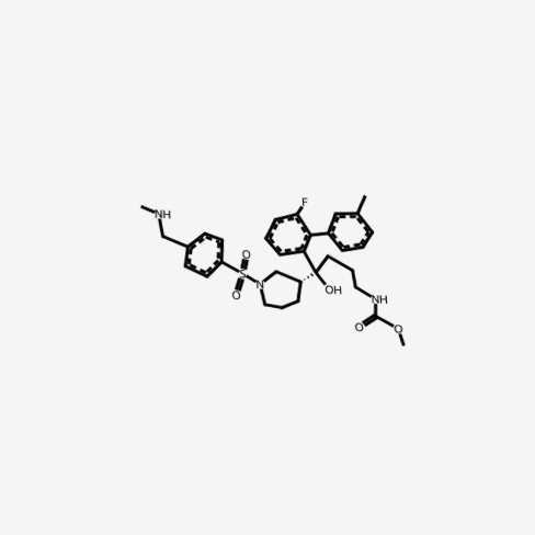 CNCc1ccc(S(=O)(=O)N2CCC[C@@H](C(O)(CCCNC(=O)OC)c3cccc(F)c3-c3cccc(C)c3)C2)cc1